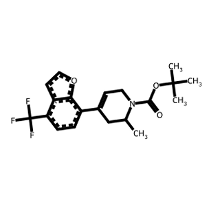 CC1CC(c2ccc(C(F)(F)F)c3ccoc23)=CCN1C(=O)OC(C)(C)C